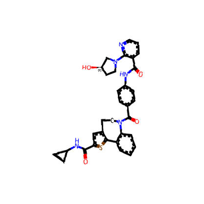 O=C(NC1CC1)c1cc2c(s1)-c1ccccc1N(C(=O)c1ccc(NC(=O)c3cccnc3N3CC[C@@H](O)C3)cc1)CC2